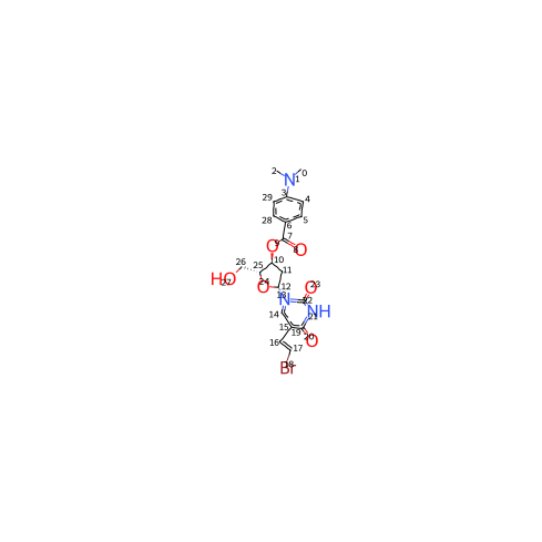 CN(C)c1ccc(C(=O)O[C@H]2C[C@H](n3cc(/C=C/Br)c(=O)[nH]c3=O)O[C@@H]2CO)cc1